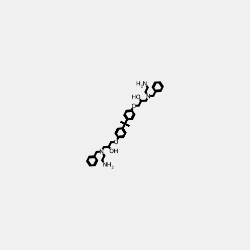 CC(C)(c1ccc(OCC(O)CN(CCN)Cc2ccccc2)cc1)c1ccc(OCC(O)CN(CCN)Cc2ccccc2)cc1